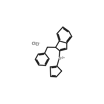 C1=CC[C]([Zr+2][C]2=Cc3ccccc3C2Cc2ccccc2)=C1.[Cl-].[Cl-]